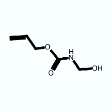 C=CCOC(=O)NCO